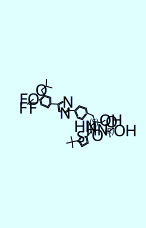 CC(C)Oc1cc(-c2cnc(-c3ccc(C[C@H](NC(=O)c4ccc(C(C)(C)C)s4)C(O)N[C@H](C)C(=O)O)cc3)nc2)ccc1OC(F)(F)F